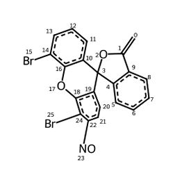 C=C1OC2(c3ccccc31)c1cccc(Br)c1Oc1c2ccc(N=O)c1Br